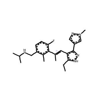 CCc1[nH]nc(-c2cnn(C)c2)c1/C=C(\C)c1c(F)ccc(CNC(C)C)c1C